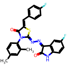 Cc1ccc(N2C(=O)C(=Cc3ccc(F)cc3)SC2=NN=C2C(=O)Nc3ccc(F)cc32)c(C)c1